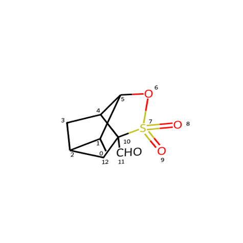 CC1C2CC3C1OS(=O)(=O)C3(C=O)C2